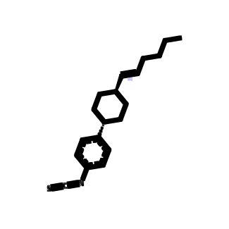 CCCC/C=C/[C@H]1CC[C@H](c2ccc(N=C=S)cc2)CC1